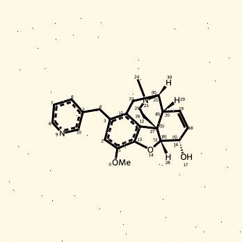 COc1cc(Cc2cccnc2)c2c3c1O[C@H]1[C@@H](O)C=C[C@H]4[C@@H](C2)N(C)CC[C@@]341